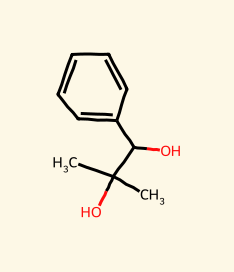 CC(C)(O)C(O)c1ccccc1